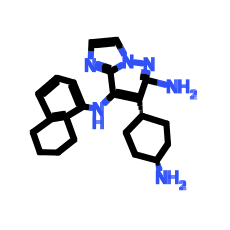 Nc1nn2ccnc2c(Nc2cccc3c2CCCC3)c1[C@H]1CC[C@H](N)CC1